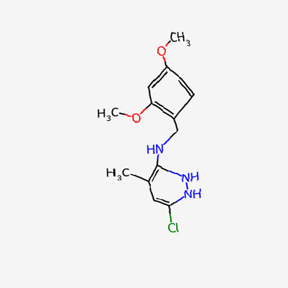 COc1ccc(CNC2=C(C)C=C(Cl)NN2)c(OC)c1